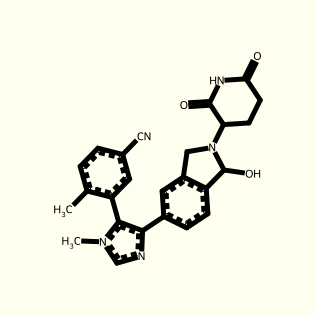 Cc1ccc(C#N)cc1-c1c(-c2ccc3c(c2)CN(C2CCC(=O)NC2=O)C3O)ncn1C